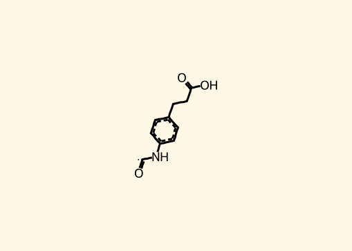 O=[C]Nc1ccc(CCC(=O)O)cc1